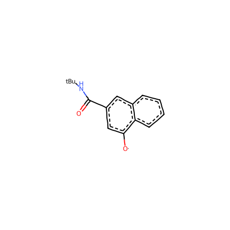 CC(C)(C)NC(=O)c1cc([O])c2ccccc2c1